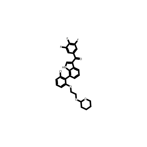 O=C(c1cc(F)c(F)c(F)c1)c1c[nH]c2c(-c3c(Cl)cccc3OCCOC3CCCCO3)cccc12